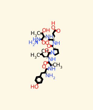 CC(C)C[C@H](NC(=O)[C@H](C)NC(=O)[C@@H](N)Cc1ccc(O)cc1)C(=O)N1CCC[C@H]1C(=O)N[C@@H](CCC(=O)O)C(=O)N[C@H](C(=O)NN)[C@@H](C)O